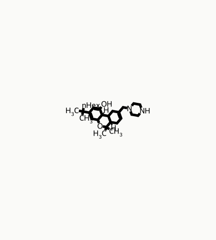 CCCCCCC(C)(C)C1=CC2OC(C)(C)[C@H]3CC=C(CN4CCNCC4)CC3[C@@H]2C(O)=C1